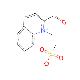 CS(=O)(=O)[O-].C[n+]1c(C=O)ccc2ccccc21